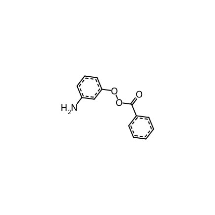 Nc1cccc(OOC(=O)c2ccccc2)c1